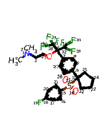 CN(C)CCOC(c1ccc(C2(S(=O)(=O)c3ccc(F)cc3)CCCC2)cc1)(C(F)(F)F)C(F)(F)F